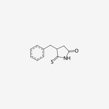 O=C1CC(Cc2ccccc2)C(=S)N1